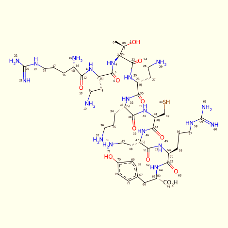 C[C@@H](O)[C@H](NC(=O)[C@H](CCN)NC(=O)[C@@H](N)CCCNC(=N)N)C(=O)N[C@H](CCN)C(=O)N[C@@H](CCCN)C(=O)N[C@@H](CS)C(=O)N[C@@H](CCN)C(=O)N[C@@H](CCCNC(=N)N)C(=O)N[C@@H](Cc1ccc(O)cc1)C(=O)O